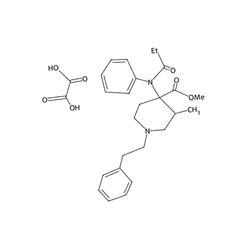 CCC(=O)N(c1ccccc1)C1(C(=O)OC)CCN(CCc2ccccc2)CC1C.O=C(O)C(=O)O